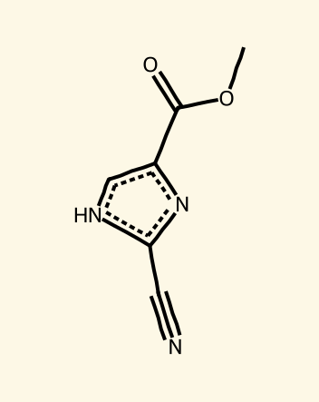 COC(=O)c1c[nH]c(C#N)n1